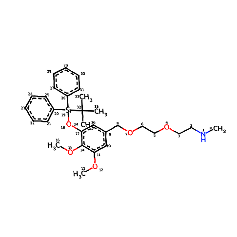 CNCCOCCOCc1cc(OC)c(OC)c(O[Si](c2ccccc2)(c2ccccc2)C(C)(C)C)c1